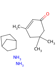 C1CC2CCC1C2.CC1=CC(=O)CC(C)(C)C1.N.N